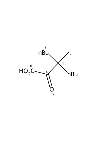 CCCCC(C)(CCCC)C(=O)C(=O)O